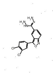 N/N=C(\NN)c1ccc2noc(-c3ccc(Cl)c(Cl)c3)c2c1